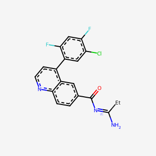 CC/C(N)=N\C(=O)c1ccc2nccc(-c3cc(Cl)c(F)cc3F)c2c1